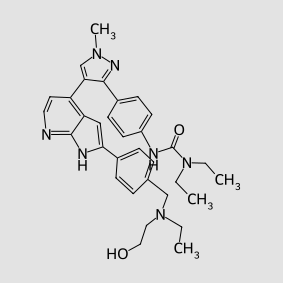 CCN(CCO)Cc1ccc(-c2cc3c(-c4cn(C)nc4-c4ccc(NC(=O)N(CC)CC)cc4)ccnc3[nH]2)cc1